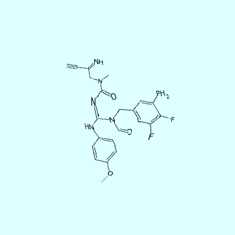 C#CC(=N)CN(C)C(=O)/N=C(/Nc1ccc(OC)cc1)N(C=O)Cc1cc(F)c(F)c(P)c1